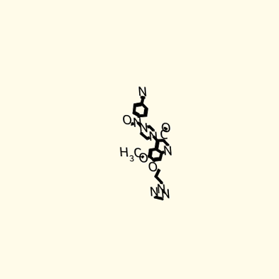 COC1=CC2=C(N3CCN(N(C=O)c4ccc(C#N)cc4)CC3)C(=C=O)C=NC2C=C1OCCCn1nccn1